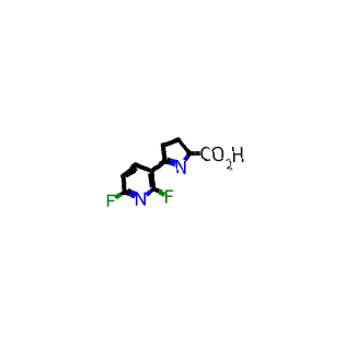 O=C(O)C1CCC(c2ccc(F)nc2F)=N1